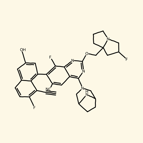 C#Cc1c(F)ccc2cc(O)cc(-c3c(C#N)cc4c(N5CC6CCC(C5)N6)nc(OCC56CCCN5CC(F)C6)nc4c3F)c12